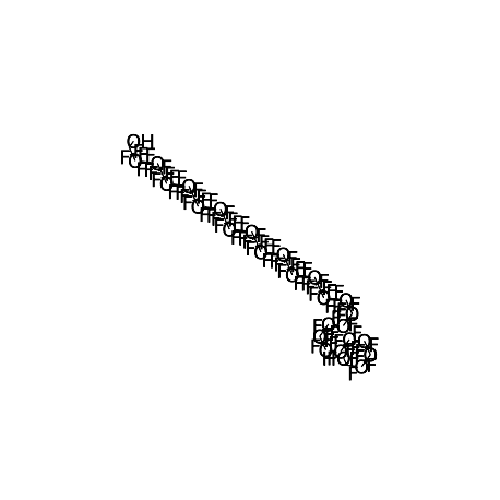 OCC(F)(F)OC(F)(F)OC(F)(F)OC(F)(F)OC(F)(F)OC(F)(F)OC(F)(F)OC(F)(F)OC(F)(F)OC(F)(F)OC(F)(F)OC(F)(F)C(F)(F)OC(F)(F)C(F)(F)OC(F)(F)C(F)(F)OC(F)(F)C(F)(F)OC(F)(F)C(F)(F)OC(F)(F)C(F)(F)OC(F)(F)C(F)(F)OC(F)(F)C(F)(F)OC(F)(F)C(F)(F)OC(F)(F)C(F)(F)OC(F)(F)C(F)(F)OC(F)(F)C(F)(F)OC(F)(F)C(F)(F)OC(F)(F)CO